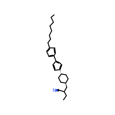 CCCCCCCCc1ccc(-c2ccc([C@H]3CC[C@H](CC(C#N)CC)CC3)cc2)cc1